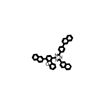 C1=Cc2ccc(-c3nc(-c4ccc(-c5ccc6ccccc6c5)cc4)nc(-c4ccc(-c5ccc6ccccc6c5)c5oc6ccccc6c45)n3)cc2CC1